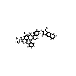 CC1(C)c2ccc([Si](C)(C)C)cc2N(c2ccccc2)c2ccc3cc(C=C4C(=O)c5cc6ccccc6cc5C4=O)ccc3c21